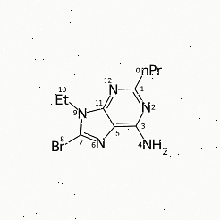 CCCc1nc(N)c2nc(Br)n(CC)c2n1